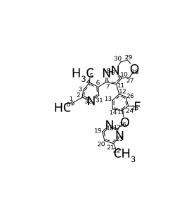 C#Cc1cc(C)c(-c2nn3c(c2-c2ccc(Oc4nccc(C)n4)c(F)c2)COCC3)cn1